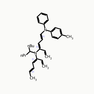 C=C/C(=C\C=C\C)N(/C(C=C)=C/C=C/N(c1ccccc1)c1ccc(C)cc1)C(CCC)CCCC